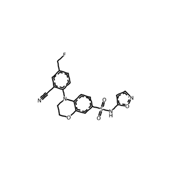 N#Cc1cc(CF)ccc1N1CCOc2cc(S(=O)(=O)Nc3ccno3)ccc21